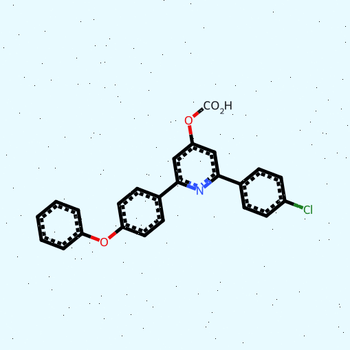 O=C(O)Oc1cc(-c2ccc(Cl)cc2)nc(-c2ccc(Oc3ccccc3)cc2)c1